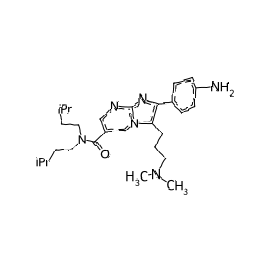 CC(C)CCN(CCC(C)C)C(=O)c1cnc2nc(-c3ccc(N)cc3)c(CCCN(C)C)n2c1